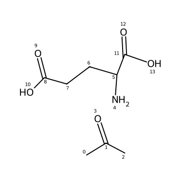 CC(C)=O.NC(CCC(=O)O)C(=O)O